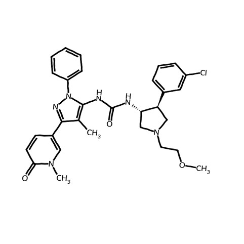 COCCN1C[C@H](NC(=O)Nc2c(C)c(-c3ccc(=O)n(C)c3)nn2-c2ccccc2)[C@@H](c2cccc(Cl)c2)C1